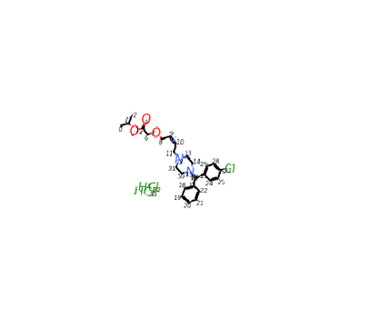 CC(C)OC(=O)COC/C=C\CN1CCN([C@H](c2ccccc2)c2ccc(Cl)cc2)CC1.Cl.Cl